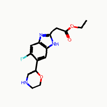 CCOC(=O)Cc1nc2cc(F)c(C3CNCCO3)cc2[nH]1